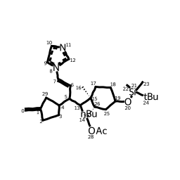 C=C1CCC(C(/C=C/n2ccnc2)C(CCCC)[C@@]2(C)CCC(O[Si](C)(C)C(C)(C)C)C[C@@H]2COC(C)=O)C1